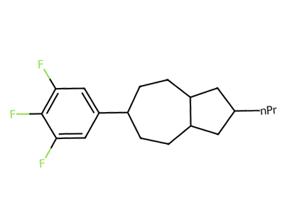 CCCC1CC2CCC(c3cc(F)c(F)c(F)c3)CCC2C1